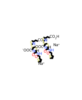 O=C(O)CCc1csc(SC2=C(C(=O)[O-])N3C(=O)[C@@H](NC(=O)Cc4cccs4)[C@H]3SC2)n1.O=C(O)CCc1csc(SC2=C(C(=O)[O-])N3C(=O)[C@@H](NC(=O)Cc4cccs4)[C@H]3SC2)n1.[Na+].[Na+]